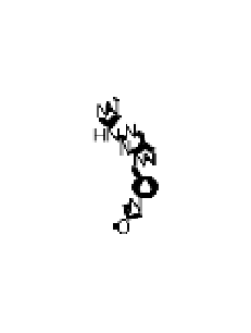 COC1CN(c2cccc(Cn3ncc4cnc(Nc5cnn(C)c5)nc43)c2)C1